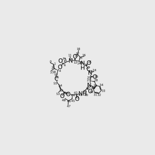 C/C=C(\C)[C@H]1OC(=O)[C@@H](C)N(C)C(=O)C(C(C)CC)NC(=O)CN(C)C(=O)[C@@H](Cc2ccccc2)N(C)C(=O)[C@H](C)NC(=O)[C@@H](CC(C)C)OC(=O)/C(C)=C/CC[C@@H]1C